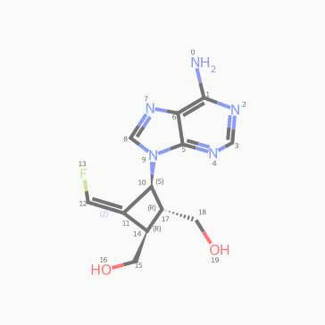 Nc1ncnc2c1ncn2[C@@H]1/C(=C\F)[C@H](CO)[C@H]1CO